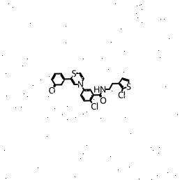 O=C1C=CC=C(C2=CN(c3ccc(Cl)c(C(=O)NCCc4ccsc4Cl)c3)C=CS2)C1